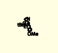 CC[C@@]1(C(C)(C)C)CN(Cc2ccc(OC)cc2)Cc2ncccc2O1